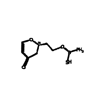 O=C1C=CO[C@@H](CCOB(P)S)C1